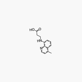 Cc1ccnc2c(NCCC(=O)O)cccc12